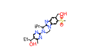 CCC(O)c1cnc(N2CCn3c(nc4cc(CO)c(S(C)(=O)=O)cc43)[C@@H]2C(C)C)nc1C